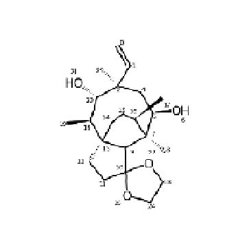 C=C[C@@]1(C)C[C@@H](O)[C@@]2(C)C3C4(CC[C@@]3(CC[C@H]2C)[C@@H](C)[C@@H]1O)OCCO4